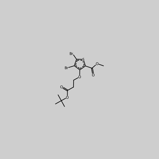 COC(=O)c1sc(Br)c(Br)c1OCCC(=O)OC(C)(C)C